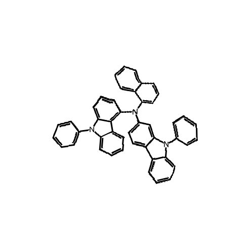 c1ccc(-n2c3ccccc3c3ccc(N(c4cccc5ccccc45)c4cccc5c4c4ccccc4n5-c4ccccc4)cc32)cc1